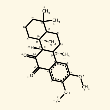 COc1cc2c(cc1OC)[C@]1(C)CCC3C(C)(C)CCC[C@]3(C)[C@H]1C(=O)C2=O